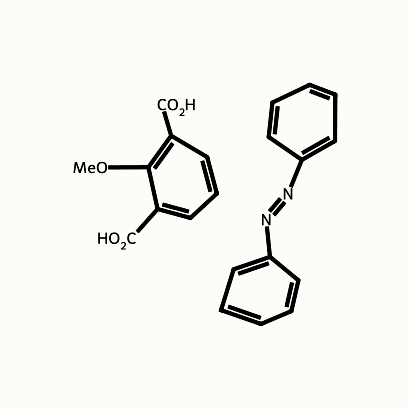 COc1c(C(=O)O)cccc1C(=O)O.c1ccc(N=Nc2ccccc2)cc1